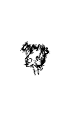 CC1CCNC(=O)c2ccc(c([N+](=O)[O-])c2)-c2ccnc(n2)Nc2ccc(OCC3CCCC3)c(c2)COC1